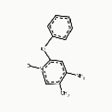 Cc1c[n+]([O-])c(Oc2ccccc2)cc1N